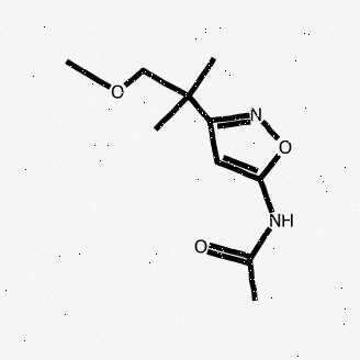 COCC(C)(C)c1cc(NC(C)=O)on1